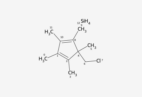 CC1=C(C)C(C)(CCl)C(C)=C1C.[SiH4]